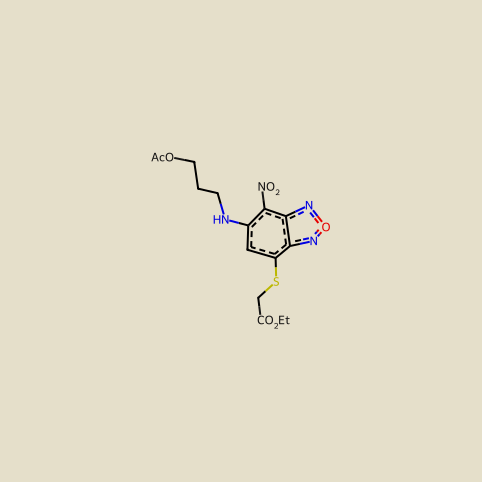 CCOC(=O)CSc1cc(NCCCOC(C)=O)c([N+](=O)[O-])c2nonc12